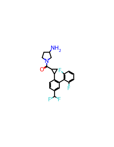 NC1CCN(C(=O)C2CC2c2ccc(C(F)F)cc2-c2c(F)cccc2F)C1